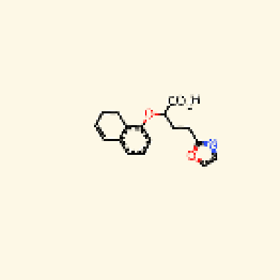 O=C(O)C(CCc1ncco1)Oc1cccc2c1CCC=C2